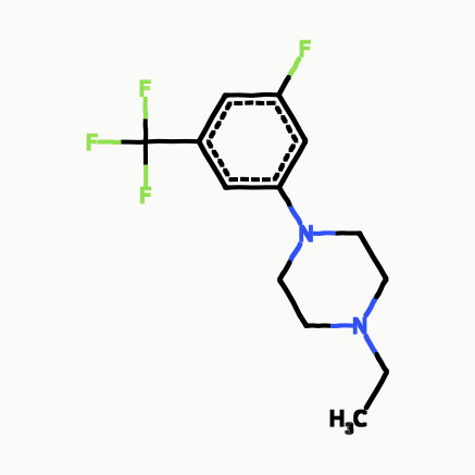 CCN1CCN(c2cc(F)cc(C(F)(F)F)c2)CC1